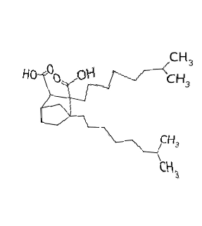 CC(C)CCCCCCC12CCC(C1)C(C(=O)O)C2(CCCCCCC(C)C)C(=O)O